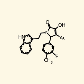 CC(=O)C1=C(O)C(=O)N(CCc2c[nH]c3ccccc23)C1c1ccc(C)c(F)c1